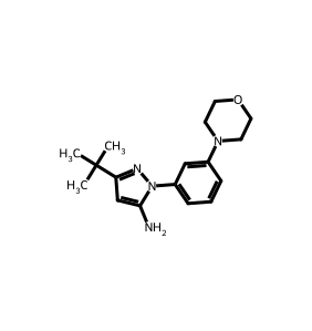 CC(C)(C)c1cc(N)n(-c2cccc(N3CCOCC3)c2)n1